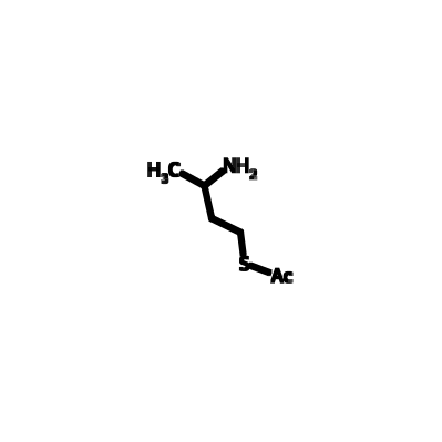 CC(=O)SCCC(C)N